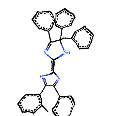 Cc1ccccc1C1=NC(=C2N=C(c3ccccc3)C(c3ccccc3)(c3ccccc3)N2)N=C1c1ccccc1